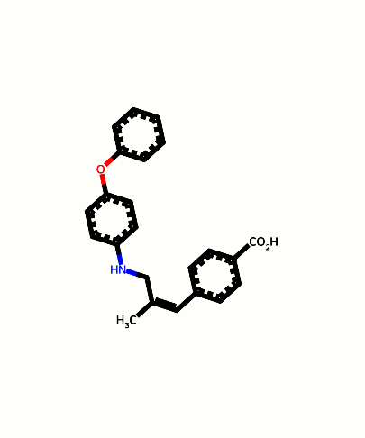 CC(=Cc1ccc(C(=O)O)cc1)CNc1ccc(Oc2ccccc2)cc1